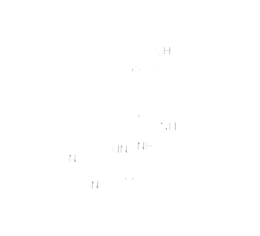 CC(=O)c1cccc(NC(=O)NNC(=O)c2cnccn2)c1